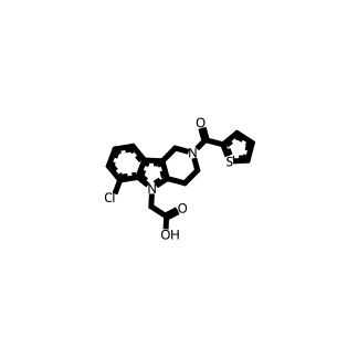 O=C(O)Cn1c2c(c3cccc(Cl)c31)CN(C(=O)c1cccs1)CC2